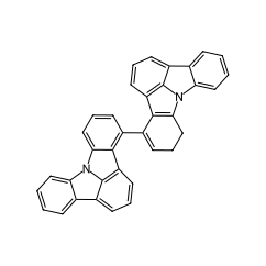 C1=C(c2cccc3c2c2cccc4c5ccccc5n3c42)c2c(n3c4ccccc4c4cccc2c43)CC1